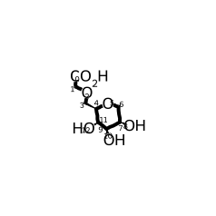 O=C(O)COC[C@H]1OC[C@H](O)[C@@H](O)[C@@H]1O